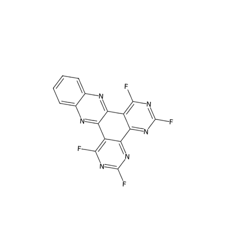 Fc1nc(F)c2c(n1)c1nc(F)nc(F)c1c1nc3ccccc3nc12